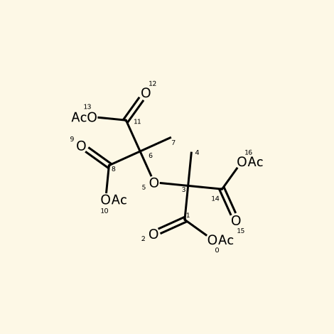 CC(=O)OC(=O)C(C)(OC(C)(C(=O)OC(C)=O)C(=O)OC(C)=O)C(=O)OC(C)=O